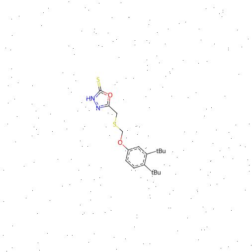 CC(C)(C)c1ccc(OCSCc2n[nH]c(=S)o2)cc1C(C)(C)C